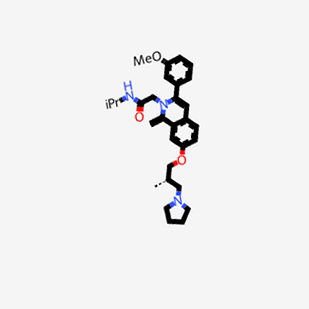 C=C1c2cc(OC[C@@H](C)CN3CCCC3)ccc2C=C(c2cccc(OC)c2)N1CC(=O)NC(C)C